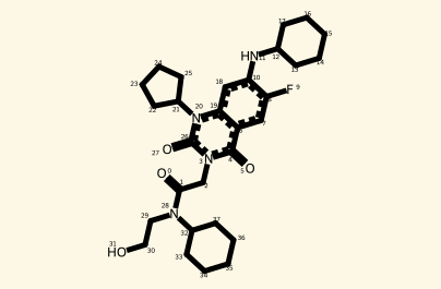 O=C(Cn1c(=O)c2cc(F)c(NC3CCCCC3)cc2n(C2CCCC2)c1=O)N(CCO)C1CCCCC1